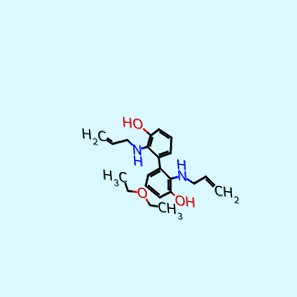 C=CCNc1c(O)cccc1-c1cccc(O)c1NCC=C.CCOCC